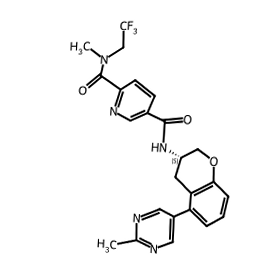 Cc1ncc(-c2cccc3c2C[C@H](NC(=O)c2ccc(C(=O)N(C)CC(F)(F)F)nc2)CO3)cn1